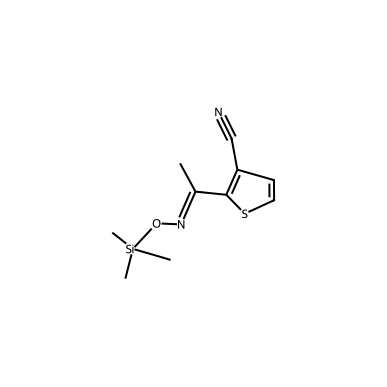 C/C(=N\O[Si](C)(C)C)c1sccc1C#N